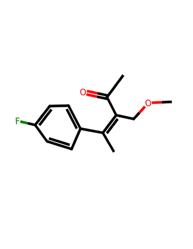 COC/C(C(C)=O)=C(\C)c1ccc(F)cc1